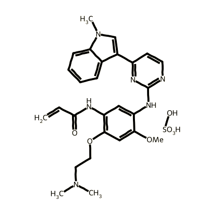 C=CC(=O)Nc1cc(Nc2nccc(-c3cn(C)c4ccccc34)n2)c(OC)cc1OCCN(C)C.O=S(=O)(O)O